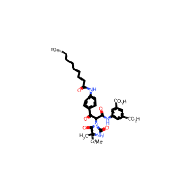 CCCCCCCCCCCCCCCCCC(=O)Nc1ccc(C(=O)C(C(=O)Nc2cc(C(=O)O)cc(C(=O)O)c2)N2C(=O)NC(C)(OC)C2=O)cc1